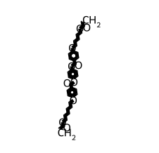 C=CC(=O)OCCCCCCOc1ccc(C(=O)Oc2ccc(OC(=O)C3CCC(OCCCCCOC(=O)C=C)CC3)cc2)cc1